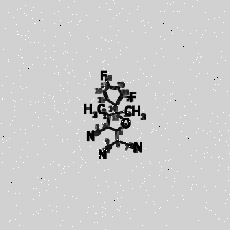 CC1=C(C#N)C(=C(C#N)C#N)OC1(C)c1ccc(F)cc1F